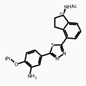 CC(=O)N[C@@H]1CCc2c(-c3nnc(-c4ccc(OC(C)C)c(N)c4)s3)cccc21